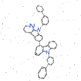 c1ccc(-c2cccc(-n3c4ccccc4c4c(-c5ccc6c(c5)c5cccnc5n6-c5cccc(-c6ccccc6)c5)cccc43)c2)cc1